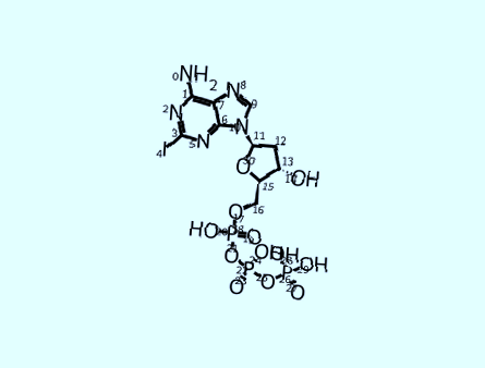 Nc1nc(I)nc2c1ncn2[C@H]1C[C@H](O)[C@@H](COP(=O)(O)OP(=O)(O)OP(=O)(O)O)O1